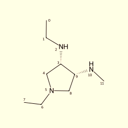 CCN[C@H]1CN(CC)C[C@H]1NC